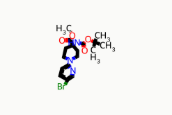 COC(=O)C1(NC(=O)OC(C)(C)C)CCN(c2ccc(Br)cn2)CC1